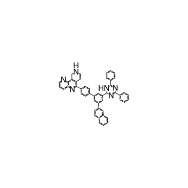 C1=Cc2c(-c3ccc(-c4cc(-c5ccc6ccccc6c5)cc(C5N=C(c6ccccc6)N=C(c6ccccc6)N5)c4)cc3)nc3cccnc3c2CN1